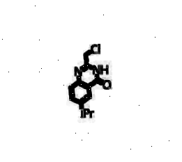 CC(C)c1ccc2nc(CCl)[nH]c(=O)c2c1